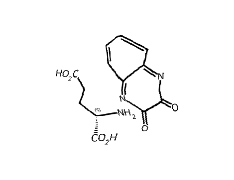 N[C@@H](CCC(=O)O)C(=O)O.O=C1N=c2ccccc2=NC1=O